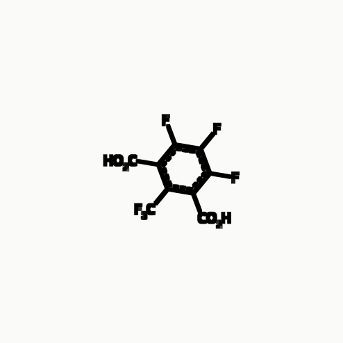 O=C(O)c1c(F)c(F)c(F)c(C(=O)O)c1C(F)(F)F